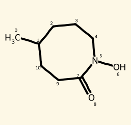 CC1CCCN(O)C(=O)CC1